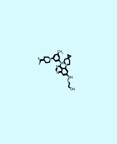 Cc1cc(Nc2ncnc3cc(NSCCO)cc(N4CCC5(CC4)CC5)c23)cc(N2CCC(=C(F)F)CC2)c1